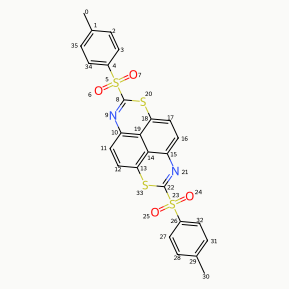 Cc1ccc(S(=O)(=O)C2=Nc3ccc4c5c(ccc(c35)S2)N=C(S(=O)(=O)c2ccc(C)cc2)S4)cc1